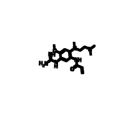 C=CC(=O)Nc1cc(NC(=N)N)c(OC)cc1N(C)CCN(C)C